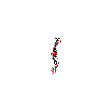 C=COC(=O)CCOc1ccc(-c2ccc(C(=O)Oc3ccc(OCCOCC(=O)C(=C)F)cc3)cc2)cc1